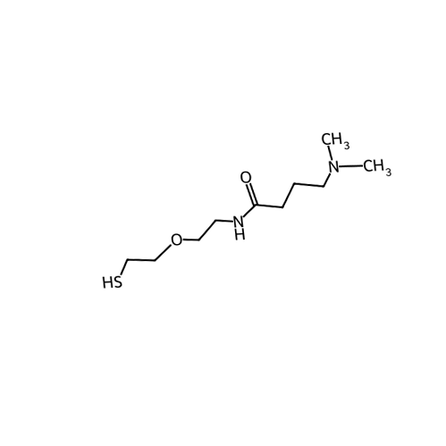 CN(C)CCCC(=O)NCCOCCS